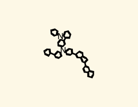 c1ccc(-c2cccc(N(c3ccc(-c4ccc5ccc(-c6ccc7ccccc7c6)cc5c4)cc3)c3ccc4c(c3)c3ccccc3n4-c3ccccc3)c2)cc1